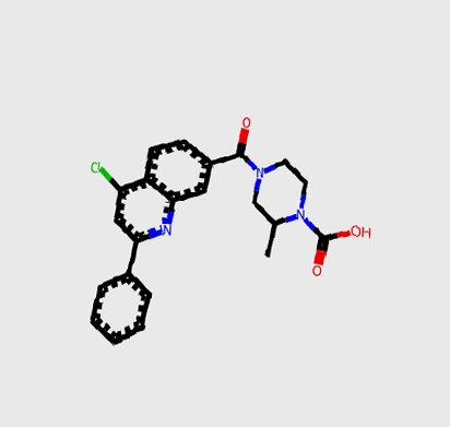 CC1CN(C(=O)c2ccc3c(Cl)cc(-c4ccccc4)nc3c2)CCN1C(=O)O